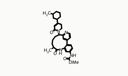 COC(=O)Nc1ccc2c(c1)NC(=O)C(C)CCCC(N1CCC(C3CCCC(C)C3)=CC1=O)c1cc-2ccn1